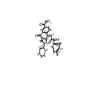 NC(=O)c1cnc2c(c1)c(=O)n1nc(C3CCCCC3)cc1n2CC(=O)Nc1ccc(F)cn1